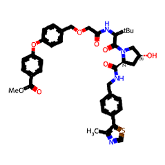 COC(=O)c1ccc(Oc2ccc(COCC(=O)NC(C(=O)N3C[C@H](O)C[C@H]3C(=O)NCc3ccc(-c4scnc4C)cc3)C(C)(C)C)cc2)cc1